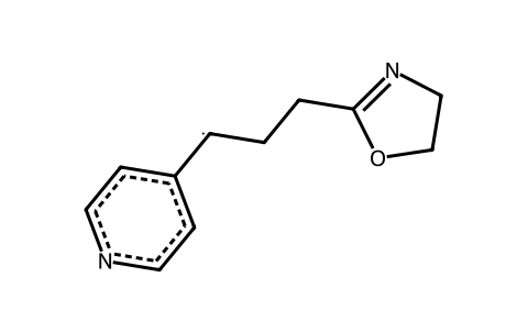 [CH](CCC1=NCCO1)c1ccncc1